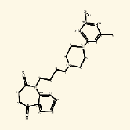 Cc1cc(N2CCN(CCCCN3C(=O)CCC(=O)c4ccccc43)CC2)nc(C(C)(C)C)n1